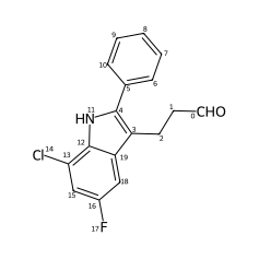 O=CCCc1c(-c2ccccc2)[nH]c2c(Cl)cc(F)cc12